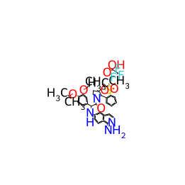 CCOc1cc(C(Nc2ccc3c(N)nccc3c2)C(=O)N2CCCC2c2ccccc2S(=O)(=O)C(C)C)ccc1OC(C)C.O=C(O)C(F)(F)F